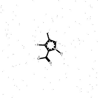 CCn1cc(C)c(F)c1C(=O)Cl